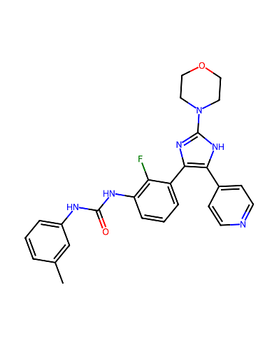 Cc1cccc(NC(=O)Nc2cccc(-c3nc(N4CCOCC4)[nH]c3-c3ccncc3)c2F)c1